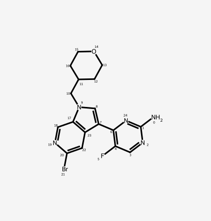 Nc1ncc(F)c(-c2cn(CC3CCOCC3)c3cnc(Br)cc23)n1